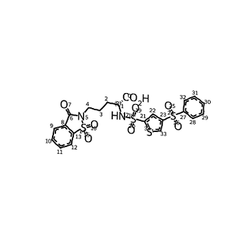 O=C(O)[C@@H](CCCN1C(=O)c2ccccc2S1(=O)=O)NS(=O)(=O)c1cc(S(=O)(=O)c2ccccc2)cs1